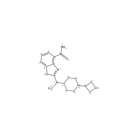 CN(c1nc2c(C(N)=O)[c]ccc2o1)C1CCN(C2COC2)CC1